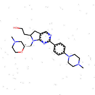 CN1CCN(c2ccc(-c3ncc4c(n3)N(C[C@H]3CN(C)CCO3)C(CCO)C4)cc2)CC1